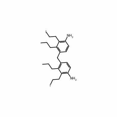 CCCc1c(Cc2ccc(N)c(CCI)c2CCC)ccc(N)c1CCI